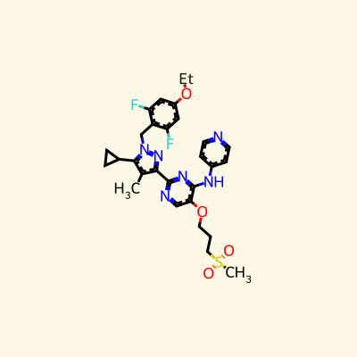 CCOc1cc(F)c(Cn2nc(-c3ncc(OCCCS(C)(=O)=O)c(Nc4ccncc4)n3)c(C)c2C2CC2)c(F)c1